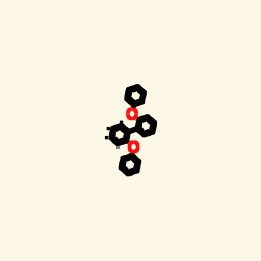 [c]1[c][c]c(-c2ccccc2Oc2ccccc2)c(Oc2ccccc2)[c]1